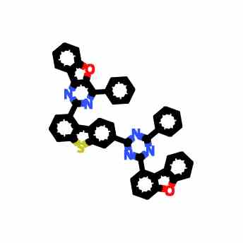 c1ccc(-c2nc(-c3ccc4c(c3)sc3cccc(-c5nc(-c6ccccc6)c6oc7ccccc7c6n5)c34)nc(-c3cccc4oc5ccccc5c34)n2)cc1